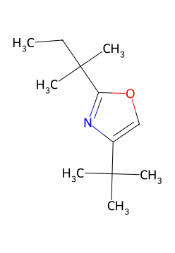 CCC(C)(C)c1nc(C(C)(C)C)co1